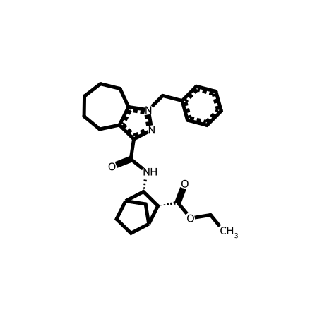 CCOC(=O)[C@@H]1C2CCC(C2)[C@@H]1NC(=O)c1nn(Cc2ccccc2)c2c1CCCCC2